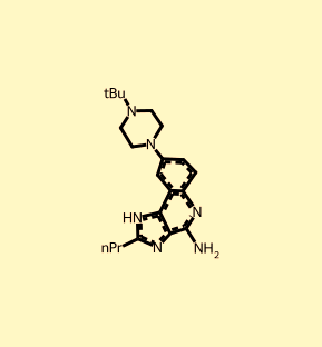 CCCc1nc2c(N)nc3ccc(N4CCN(C(C)(C)C)CC4)cc3c2[nH]1